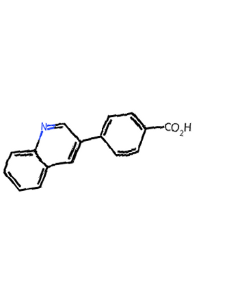 O=C(O)c1ccc(-c2cnc3ccccc3c2)cc1